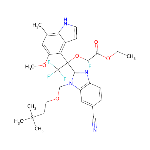 CCOC(=O)C(F)OC(c1c(OC)cc(C)c2[nH]ccc12)(c1nc2ccc(C#N)cc2n1COCC[Si](C)(C)C)C(F)(F)F